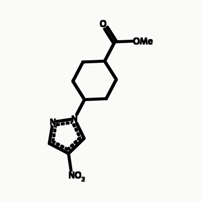 COC(=O)C1CCC(n2cc([N+](=O)[O-])cn2)CC1